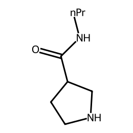 CCCNC(=O)C1CCNC1